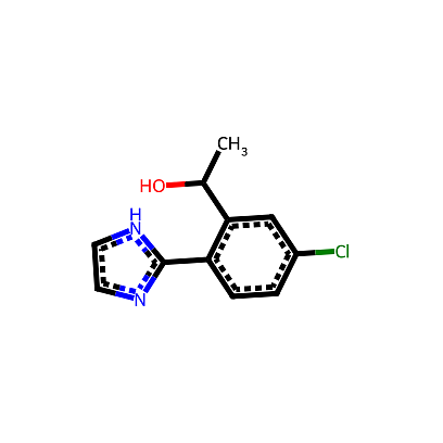 CC(O)c1cc(Cl)ccc1-c1ncc[nH]1